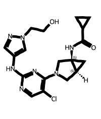 O=C(N[C@@]12C[C@H]1CN(c1nc(Nc3cnn(CCO)c3)ncc1Cl)C2)C1CC1